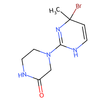 CC1(Br)C=CNC(N2CCNC(=O)C2)=N1